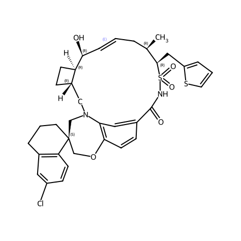 C[C@@H]1C/C=C/[C@H](O)[C@@H]2CC[C@H]2CN2C[C@@]3(CCCc4cc(Cl)ccc43)COc3ccc(cc32)C(=O)NS(=O)(=O)[C@@H]1Cc1cccs1